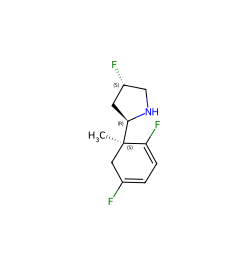 C[C@@]1([C@H]2C[C@H](F)CN2)CC(F)=CC=C1F